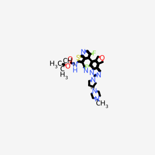 CN1CCN([C@@H]2CCN(c3ncc4c5c(c(-c6c(F)cnc7sc(NC(=O)OC(C)(C)C)c(C#N)c67)c(F)c4n3)COC5)C2)CC1